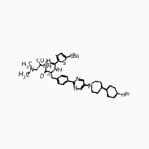 CCCC1CCC(C2CCN(c3cnc(-c4ccc(C[C@H](NC(=O)c5ccc(C(C)(C)C)s5)C(=O)NC(CN(C)C)C(=O)O)cc4)nc3)CC2)CC1